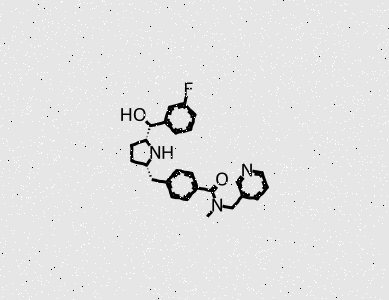 CN(Cc1cccnc1)C(=O)c1ccc(C[C@@H]2CC[C@H](C(O)c3cccc(F)c3)N2)cc1